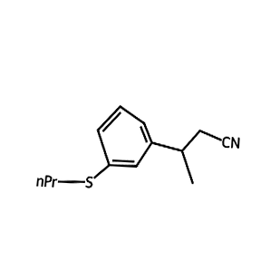 CCCSc1cccc(C(C)CC#N)c1